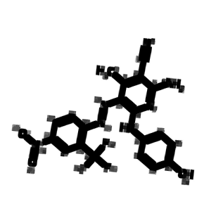 Cc1c(C#N)c(N)nc(Nc2ccc(O)cc2)c1/N=N/c1ccc([N+](=O)[O-])cc1C(F)(F)F